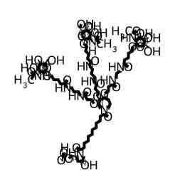 CC(=O)N[C@H]1[C@H](OCCCCC(=O)NCCCNC(=O)CCO[C@@H]2[C@@H](OCCC(=O)NCCCNC(=O)CCCCO[C@@H]3O[C@H](CO)[C@H](O)[C@H](O)[C@H]3NC(C)=O)CN(C(=O)CCCCCCCCCCC(=O)N3C[C@H](O)C[C@H]3CO[PH](=O)O)CCC[C@H]2OCCC(=O)NCCCNC(=O)CCCCO[C@@H]2O[C@H](CO)[C@H](O)[C@H](O)[C@H]2NC(C)=O)O[C@H](CO)[C@H](O)[C@@H]1O